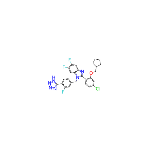 Fc1cc2nc(-c3ccc(Cl)cc3OCC3CCCC3)n(Cc3ccc(-c4nnn[nH]4)c(F)c3)c2cc1F